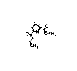 CCCC(C)c1cccc(C(=O)OC)n1